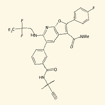 C#CC(C)(C)NC(=O)c1cccc(-c2cc3c(C(=O)NC)c(-c4ccc(F)cc4)oc3nc2NCC(F)(F)C(F)(F)F)c1